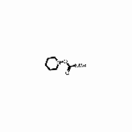 CNC(=O)ON1CCCCC1